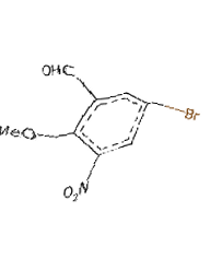 COc1c(C=O)cc(Br)cc1[N+](=O)[O-]